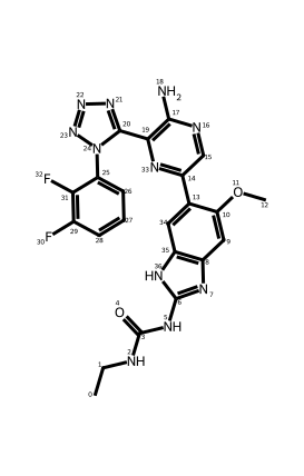 CCNC(=O)Nc1nc2cc(OC)c(-c3cnc(N)c(-c4nnnn4-c4cccc(F)c4F)n3)cc2[nH]1